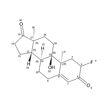 C[C@]12CC(F)C(=O)C=C1CC[C@H]1[C@@H]3CCC(=O)[C@@]3(C)CC[C@@]12O